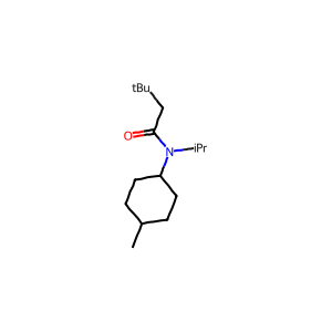 CC1CCC(N(C(=O)CC(C)(C)C)C(C)C)CC1